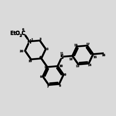 CCOC(=O)N1CCC(c2ccccc2Sc2ccc(C)cc2)CC1